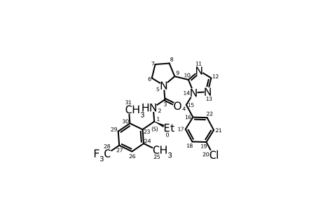 CC[C@H](NC(=O)N1CCCC1c1ncnn1Cc1ccc(Cl)cc1)c1c(C)cc(C(F)(F)F)cc1C